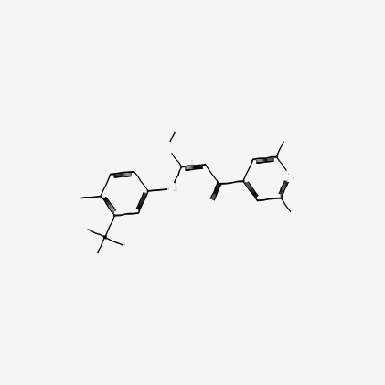 CS/C(=C/C(=O)c1cc(C)nc(Cl)c1)Nc1ccc(F)c(C(F)(F)F)c1